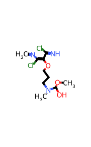 C=N/C(Cl)=C(/OCCCN(C)C(O)OC)C(=N)Cl